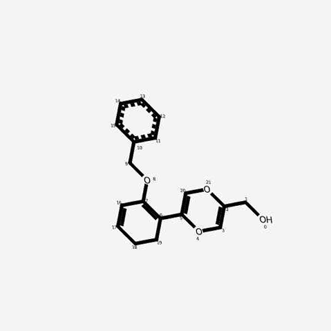 OCC1=COC(C2=C(OCc3ccccc3)C=CCC2)=CO1